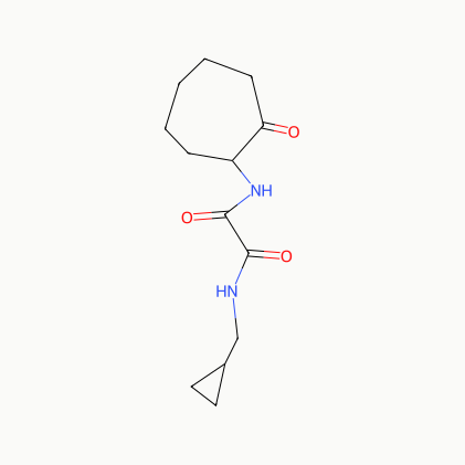 O=C(NCC1CC1)C(=O)NC1CCCCCC1=O